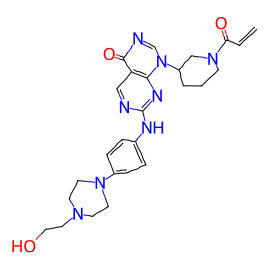 C=CC(=O)N1CCCC(n2cnc(=O)c3cnc(Nc4ccc(N5CCN(CCO)CC5)cc4)nc32)C1